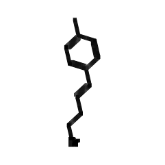 Cc1ccc(C=CCCBr)cc1